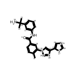 Cc1ccc(C(=O)Nc2cccc(C(C)(C)N)c2)cc1-n1cc(-c2cncs2)nn1